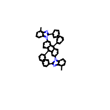 Cc1cccc2c1nc(-c1ccccc1)n2-c1ccc2c(-c3ccccc3)c3cc(-n4c(-c5ccccc5)nc5c(C)cccc54)ccc3c(-c3ccccc3)c2c1